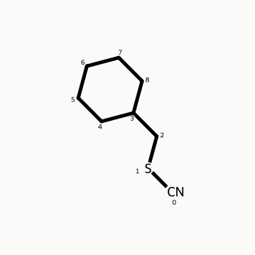 N#CSCC1CCCCC1